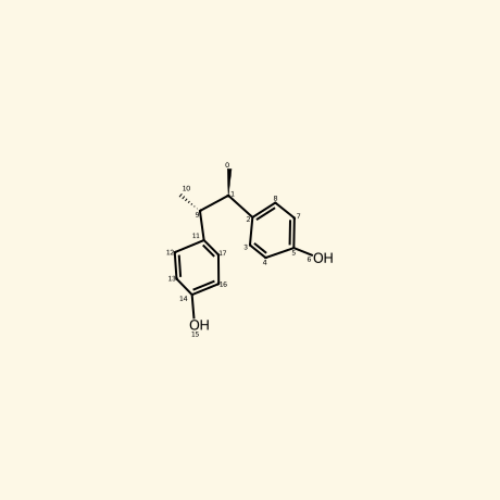 C[C@@H](c1ccc(O)cc1)[C@@H](C)c1ccc(O)cc1